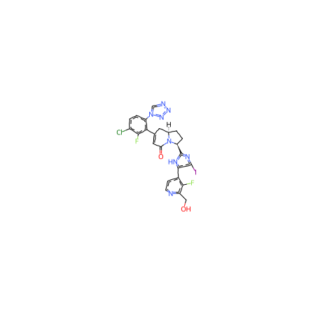 O=C1C=C(c2c(-n3cnnn3)ccc(Cl)c2F)C[C@H]2CC[C@@H](c3nc(I)c(-c4ccnc(CO)c4F)[nH]3)N12